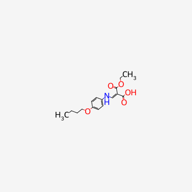 CCCCOc1ccc(NC=C(C(=O)O)C(=O)OCC)cc1